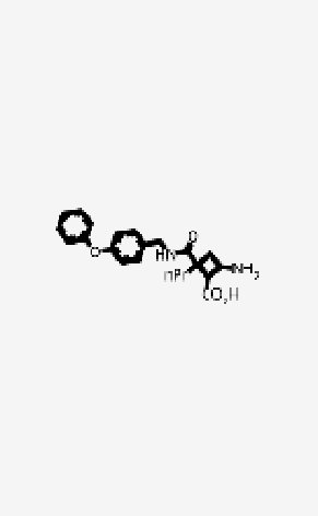 CCCC1(C(=O)NCc2ccc(Oc3ccccc3)cc2)CC(N)C1C(=O)O